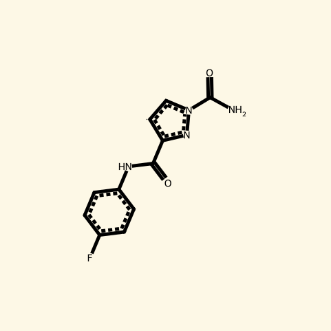 NC(=O)n1c[c]c(C(=O)Nc2ccc(F)cc2)n1